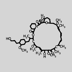 COC1CC2CCC(C)C(O)(O2)C(=O)C(=O)N2CCCCC2C(=O)OC(C(C)CC2CCC(CCCO)C(OC)C2)CC(=O)C(C)/C=C(\C)C(O)C(OC)C(=O)C(C)CC(C)/C=C/C=C/C=C/1C